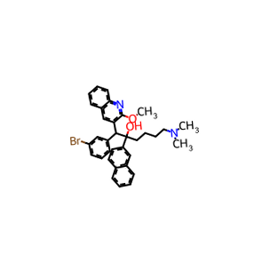 COc1nc2ccccc2cc1C(c1cccc(Br)c1)C(O)(CCCCN(C)C)c1ccc2ccccc2c1